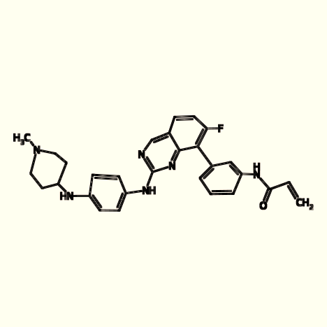 C=CC(=O)Nc1cccc(-c2c(F)ccc3cnc(Nc4ccc(NC5CCN(C)CC5)cc4)nc23)c1